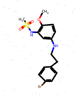 COc1ccc(NCCc2ccc(Br)cc2)cc1NS(C)(=O)=O